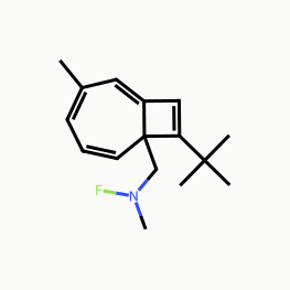 CC1=CC=CC2(CN(C)F)C(=C1)C=C2C(C)(C)C